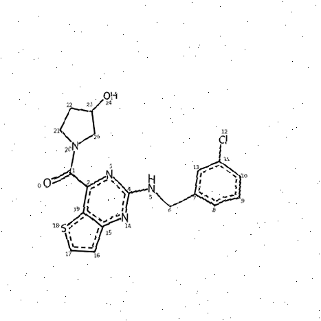 O=C(c1nc(NCc2cccc(Cl)c2)nc2ccsc12)N1CCC(O)C1